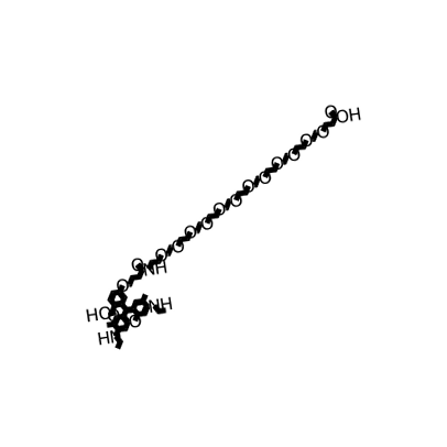 CCNC1=CC2Oc3cc(NCC)c(C)cc3C(c3cc(OCCCC(=O)NCCOCCOCCOCCOCCOCCOCCOCCOCCOCCOCCOCCOCCC(=O)O)ccc3C(=O)O)=C2C=C1C